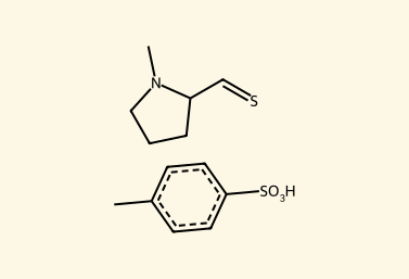 CN1CCCC1C=S.Cc1ccc(S(=O)(=O)O)cc1